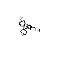 OCc1csc(C2(C3=CCC(Br)C=C3)CCOCC2)n1